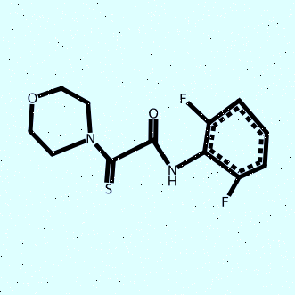 O=C(Nc1c(F)cccc1F)C(=S)N1CCOCC1